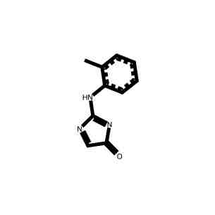 Cc1ccccc1NC1=NC(=O)C=N1